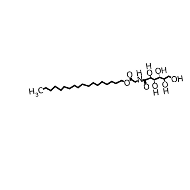 CCCCCCCCCCCCCCCCCCOC(=O)CNC(=O)[C@H](O)[C@@H](O)[C@H](O)[C@H](O)CO